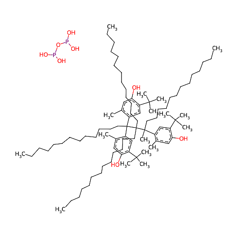 CCCCCCCCCCCCCC(C)(c1cc(C(C)(C)C)c(O)cc1C)C(CCCCCCCCCCCCC)(CCCCCCCCCCCCC)C(CCCCCCCCCCCCC)(c1cc(C(C)(C)C)c(O)cc1C)c1cc(C(C)(C)C)c(O)cc1C.OP(O)OP(O)O